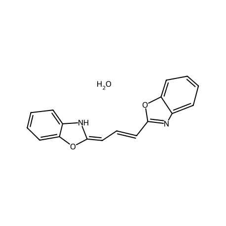 C(=Cc1nc2ccccc2o1)C=C1Nc2ccccc2O1.O